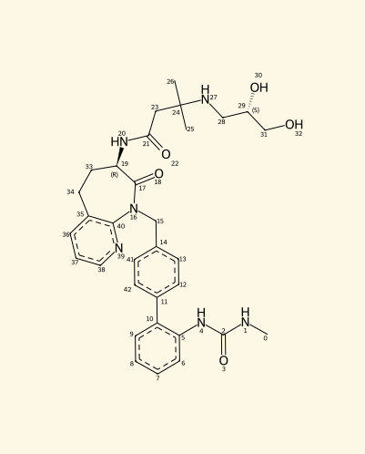 CNC(=O)Nc1ccccc1-c1ccc(CN2C(=O)[C@H](NC(=O)CC(C)(C)NC[C@H](O)CO)CCc3cccnc32)cc1